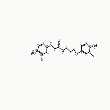 Cc1cc(SCCCOC(=O)CSc2ccc(O)c(C)c2)ccc1O